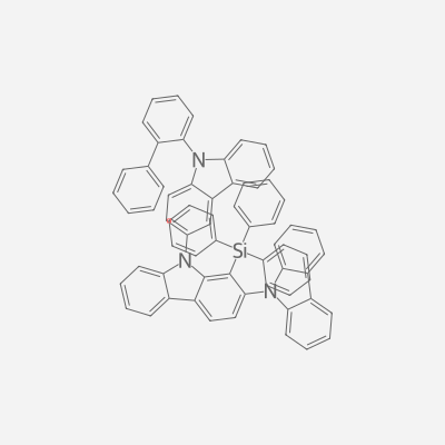 c1ccc(-c2ccccc2-n2c3ccccc3c3cc(-n4c5ccccc5c5ccc(-n6c7ccccc7c7ccccc76)c([Si](c6ccccc6)(c6ccccc6)c6ccccc6)c54)ccc32)cc1